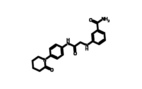 NC(=O)c1cccc(NCC(=O)Nc2ccc(N3CCCCC3=O)cc2)c1